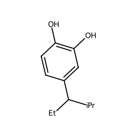 CCC(c1ccc(O)c(O)c1)C(C)C